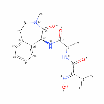 CC(C)C(=NO)C(=O)N[C@@H](C)C(=O)N[C@@H]1C(=O)N(C)CCc2ccccc21